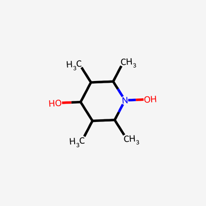 CC1C(O)C(C)C(C)N(O)C1C